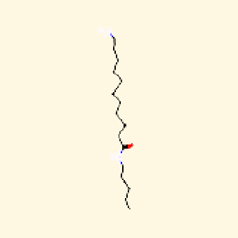 CCCCCNC(=O)CCCCCCCCCCN